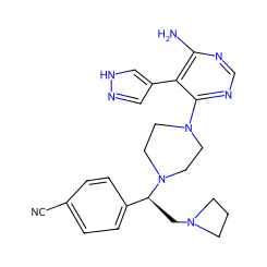 N#Cc1ccc([C@H](CN2CCC2)N2CCN(c3ncnc(N)c3-c3cn[nH]c3)CC2)cc1